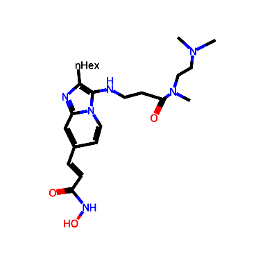 CCCCCCc1nc2cc(/C=C/C(=O)NO)ccn2c1NCCC(=O)N(C)CCN(C)C